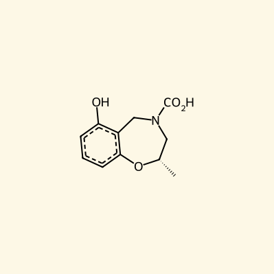 C[C@H]1CN(C(=O)O)Cc2c(O)cccc2O1